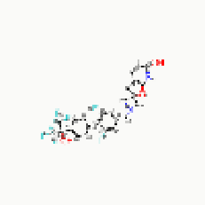 Oc1ccc2c(n1)OC1(C2)CN(Cc2cc(F)c(-c3ccc(C(O)(C(F)(F)F)C(F)(F)F)cc3)c(F)c2)C1